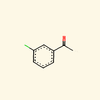 CCC(C)C(=O)c1cccc(Cl)c1